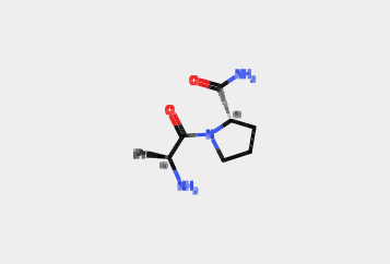 CC(C)[C@H](N)C(=O)N1CCC[C@H]1C(N)=O